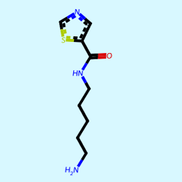 NCCCCCNC(=O)c1cncs1